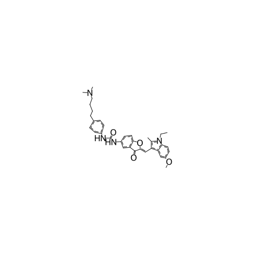 CCn1c(C)c(/C=C2\Oc3ccc(NC(=O)Nc4ccc(CCCCN(C)C)cc4)cc3C2=O)c2cc(OC)ccc21